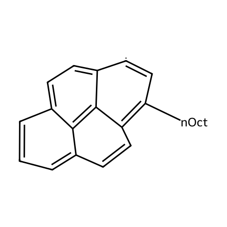 CCCCCCCCc1c[c]c2ccc3cccc4ccc1c2c34